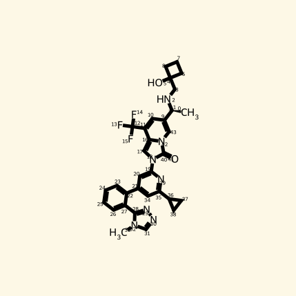 C[C@H](NCC1(O)CCC1)c1cc(C(F)(F)F)c2cn(-c3cc(-c4ccccc4-c4nncn4C)cc(C4CC4)n3)c(=O)n2c1